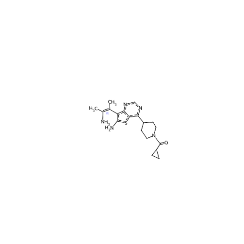 C/C(N)=C(\C)c1c(N)sc2c(C3CCN(C(=O)C4CC4)CC3)ncnc12